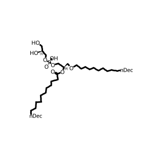 CCCCCCCCCCCCCCCCCCCCOC[C@H](COP(=O)(O)OC[C@@H](O)CO)OC(=O)CCCCCCCCCCCCCCCCCCCC